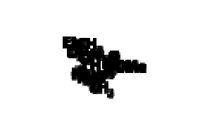 CCN(C)C(=O)c1cc2cc(c1)-c1cnn3cc(C)c(nc13)OC[C@@H]1C[C@@H](OC)C(=O)N1CCN2